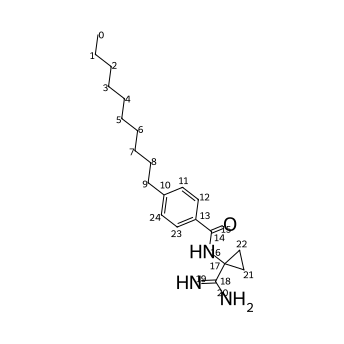 CCCCCCCCCCc1ccc(C(=O)NC2(C(=N)N)CC2)cc1